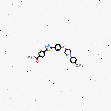 COC(=O)c1ccc(-c2nnc(-c3ccc(OC4CCN(c5ccc(OC)cc5)CC4)cc3)s2)cc1